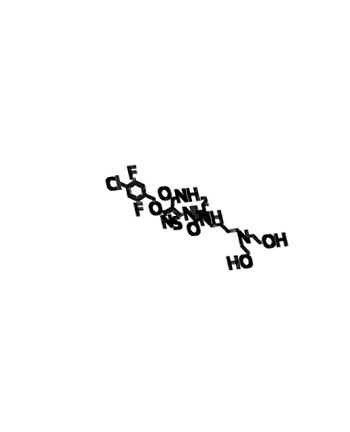 NC(=O)c1c(OCc2cc(F)c(Cl)cc2F)nsc1NC(=O)NCCCCN(CCO)CCO